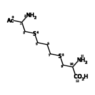 CC(=O)C(N)CSCCCSCC(N)C(=O)O